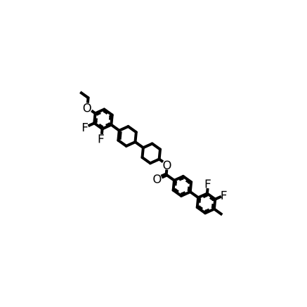 CCOc1ccc(C2=CCC(C3CCC(OC(=O)c4ccc(-c5ccc(C)c(F)c5F)cc4)CC3)CC2)c(F)c1F